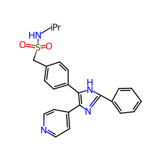 CC(C)NS(=O)(=O)Cc1ccc(-c2[nH]c(-c3ccccc3)nc2-c2ccncc2)cc1